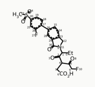 CCC(C(=O)C(CC(=O)O)C(=O)CF)N1Cc2ccc(-c3ccc(S(C)(=O)=O)cc3F)cc2C1=O